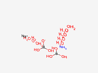 N.O.O.O.O.O.O.O.O.OB(O)O.[Na+].[O-]B(O)O